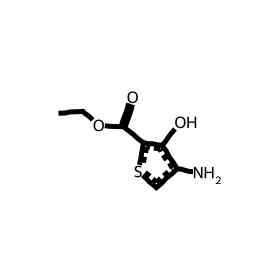 CCOC(=O)c1scc(N)c1O